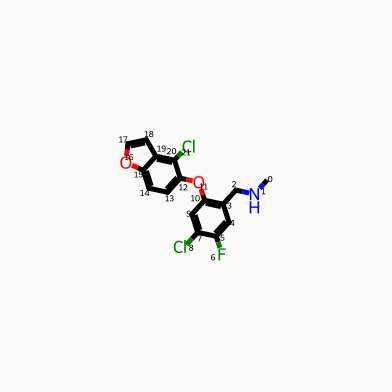 CNCc1cc(F)c(Cl)cc1Oc1ccc2occc2c1Cl